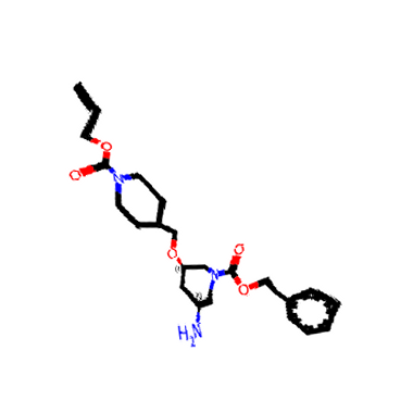 C=CCOC(=O)N1CCC(CO[C@@H]2C[C@H](N)CN(C(=O)OCc3ccccc3)C2)CC1